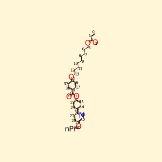 C=CC(=O)OCCCCCCCCCOc1ccc(C(=O)Oc2ccc(-c3ccc(OCCC)cn3)cc2)cc1